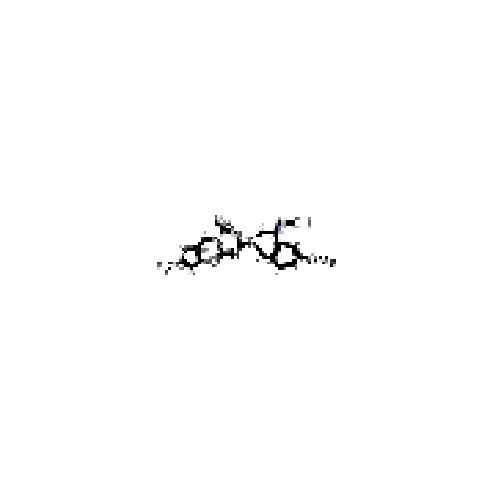 COc1ccc2c(c1)/C(=N\O)CN(c1nc(C)n(Cc3ccc(C(F)(F)F)s3)c(=O)n1)C2